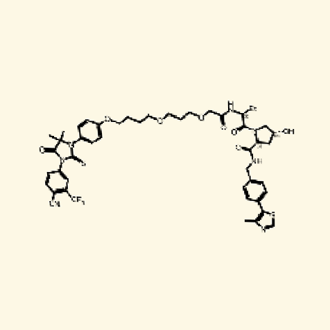 CC[C@H](NC(=O)COCCCOCCCCOc1ccc(N2C(=S)N(c3ccc(C#N)c(C(F)(F)F)c3)C(=O)C2(C)C)cc1)C(=O)N1C[C@H](O)C[C@H]1C(=O)NCc1ccc(-c2scnc2C)cc1